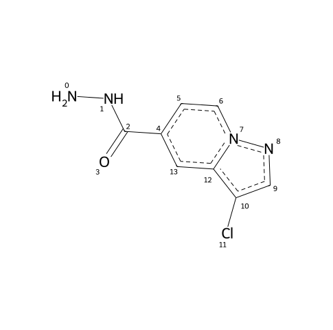 NNC(=O)c1ccn2ncc(Cl)c2c1